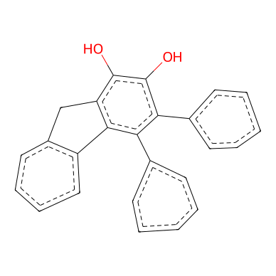 Oc1c(O)c(-c2ccccc2)c(-c2ccccc2)c2c1Cc1ccccc1-2